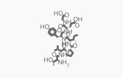 CC[C@H](C)[C@H](NC(=O)[C@@H]1CCCN1C(=O)[C@@H](NC(=O)[C@@H](N)[C@@H](C)O)C(C)C)C(=O)N[C@@H](Cc1ccc(O)cc1)C(=O)N[C@@H](CCC(=O)O)C(=O)NCC(=O)O